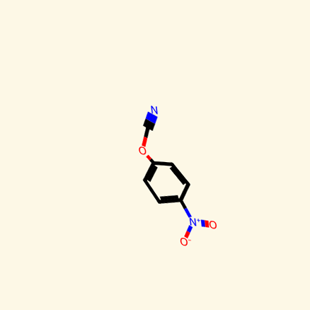 N#COc1ccc([N+](=O)[O-])cc1